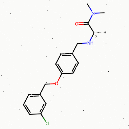 C[C@H](NCc1ccc(OCc2cccc(Cl)c2)cc1)C(=O)N(C)C